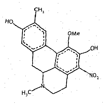 COc1c(O)c([N+](=O)[O-])c2c3c1-c1cc(C)c(O)cc1CC3N(C)CC2